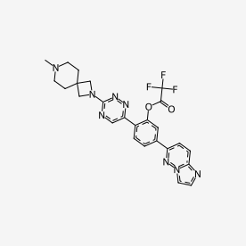 CN1CCC2(CC1)CN(c1ncc(-c3ccc(-c4ccc5nccn5n4)cc3OC(=O)C(F)(F)F)nn1)C2